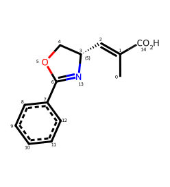 CC(=C[C@H]1COC(c2ccccc2)=N1)C(=O)O